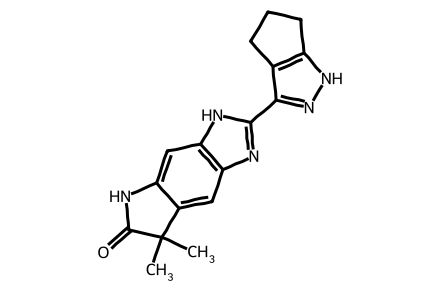 CC1(C)C(=O)Nc2cc3[nH]c(-c4n[nH]c5c4CCC5)nc3cc21